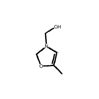 CC1=[C]N(CO)CO1